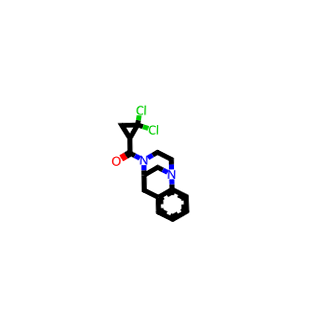 O=C(C1CC1(Cl)Cl)N1CCN2CC1Cc1ccccc12